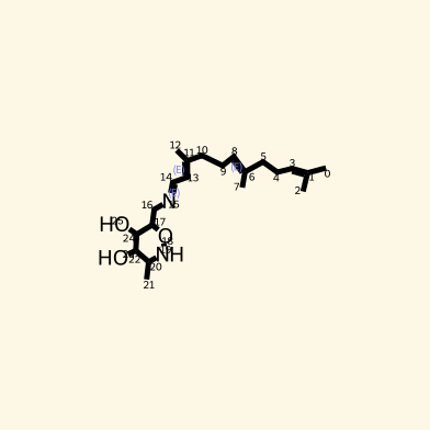 CC(C)=CCC/C(C)=C/CC/C(C)=C/C=N/CC1ONC(C)C(O)C1O